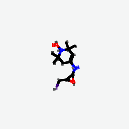 CC1(C)C=C(NC2OC2CI)CC(C)(C)N1O